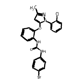 Cc1cc(Oc2ccccc2NC(=O)Nc2ccc(Br)cc2)n(-c2ccccc2Cl)n1